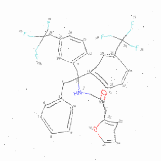 O=C(NC(Cc1ccccc1)(c1cccc(C(F)(F)F)c1)c1cccc(C(F)(F)F)c1)c1ccco1